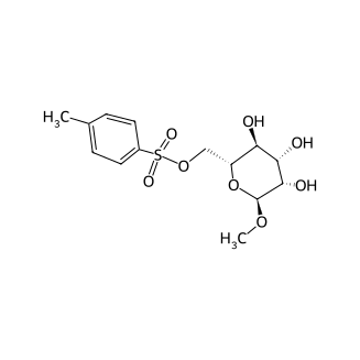 CO[C@H]1O[C@H](COS(=O)(=O)c2ccc(C)cc2)[C@@H](O)[C@H](O)[C@@H]1O